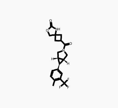 Cc1ccc([C@H]2[C@@H]3CN(C(=O)C4CC5(COC(=O)N5)C4)C[C@@H]32)cc1C(F)(F)F